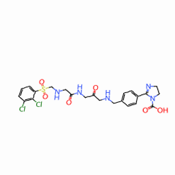 O=C(CNCc1ccc(C2=NCCN2C(=O)O)cc1)CNC(=O)CNCS(=O)(=O)c1cccc(Cl)c1Cl